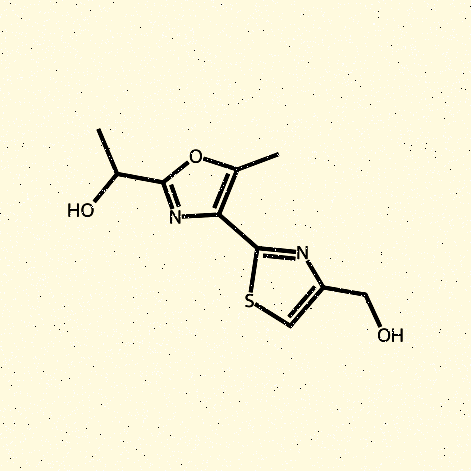 Cc1oc(C(C)O)nc1-c1nc(CO)cs1